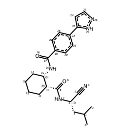 CC(C)C[C@@H](C#N)NC(=O)[C@@H]1CCCC[C@@H]1NC(=O)c1ccc(-c2ccn[nH]2)cc1